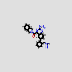 CNCc1ccccc1-c1ccc2nc(N)nc(C(=O)N3Cc4ccccc4C3)c2c1